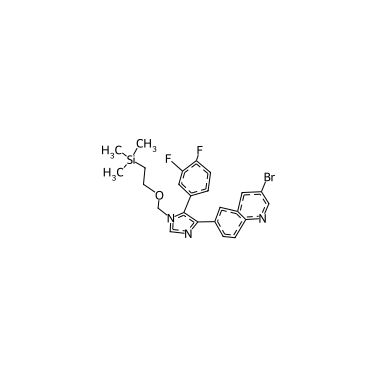 C[Si](C)(C)CCOCn1cnc(-c2ccc3ncc(Br)cc3c2)c1-c1ccc(F)c(F)c1